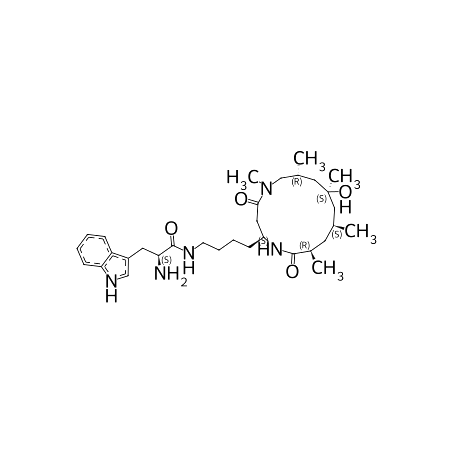 C[C@H]1C[C@@H](C)C(=O)N[C@@H](CCCCNC(=O)[C@@H](N)Cc2c[nH]c3ccccc23)CC(=O)N(C)C[C@H](C)C[C@@](C)(O)C1